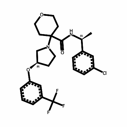 C[C@H](NC(=O)C1(N2CC[C@@H](Oc3cccc(C(F)(F)F)c3)C2)CCOCC1)c1cccc(Cl)c1